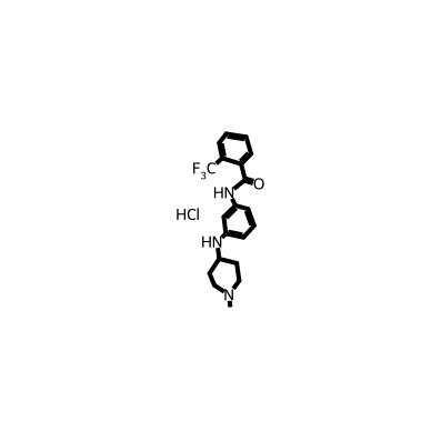 CN1CCC(Nc2cccc(NC(=O)c3ccccc3C(F)(F)F)c2)CC1.Cl